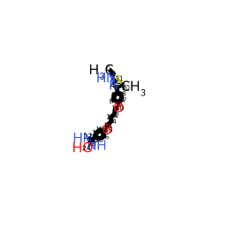 CCNc1nc(-c2ccc(OCCCCCOc3ccc(C(=N)NO)cc3)cc2)c(C)s1